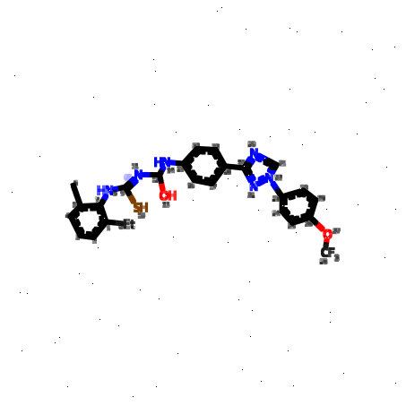 CCc1cccc(C)c1N/C(S)=N/C(O)Nc1ccc(-c2ncn(-c3ccc(OC(F)(F)F)cc3)n2)cc1